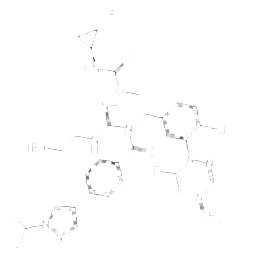 C=N/C=N\N(c1cc([C@@H](COC(=O)N[C@H]2C[C@@H]2F)N(C(=N)NCCC(C)(C)C)C(=O)c2ccc(-c3cnn(C(F)F)c3)cc2)ccc1Cl)C(F)F